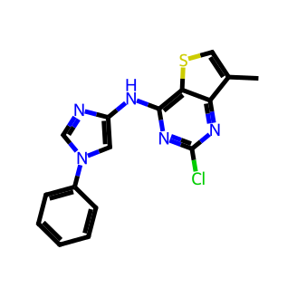 Cc1csc2c(Nc3cn(-c4ccccc4)cn3)nc(Cl)nc12